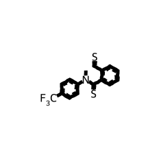 CN(C(=S)c1ccccc1C=S)c1ccc(C(F)(F)F)cc1